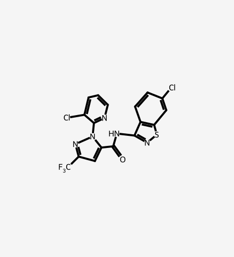 O=C(Nc1nsc2cc(Cl)ccc12)c1cc(C(F)(F)F)nn1-c1ncccc1Cl